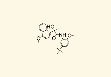 COc1ccc(C(C)(C)C)cc1NC(=O)C(C)(O)c1ccc(OC)c2ccccc12